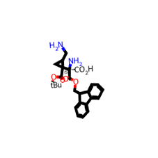 CC(C)(C)OC(=O)C1([C@](N)(C(=O)O)C(=O)OCC2c3ccccc3-c3ccccc32)CC1CN